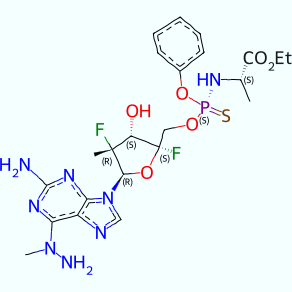 CCOC(=O)[C@H](C)N[P@](=S)(OC[C@@]1(F)O[C@@H](n2cnc3c(N(C)N)nc(N)nc32)[C@](C)(F)[C@@H]1O)Oc1ccccc1